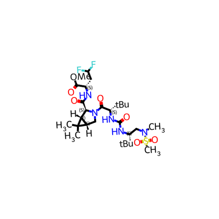 COC(=O)[C@H](CC(F)F)NC(=O)[C@@H]1[C@@H]2[C@H](CN1C(=O)[C@@H](NC(=O)N[C@H](CN(C)S(C)(=O)=O)C(C)(C)C)C(C)(C)C)C2(C)C